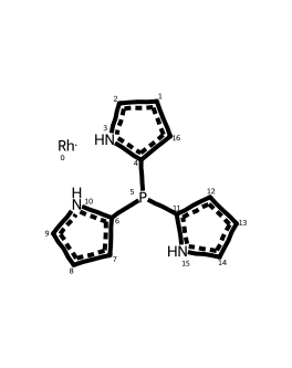 [Rh].c1c[nH]c(P(c2ccc[nH]2)c2ccc[nH]2)c1